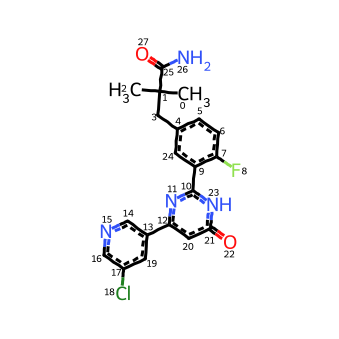 CC(C)(Cc1ccc(F)c(-c2nc(-c3cncc(Cl)c3)cc(=O)[nH]2)c1)C(N)=O